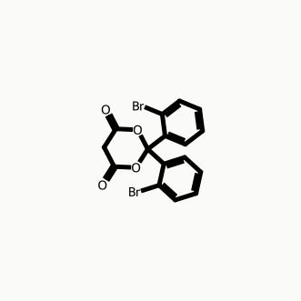 O=C1CC(=O)OC(c2ccccc2Br)(c2ccccc2Br)O1